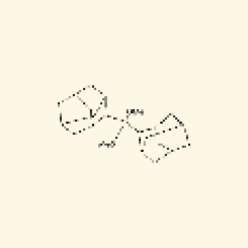 CO[Si](OC)(C1C2CC3CC(C2)CC1C3)C1C2CC3CC(C2)CC1C3